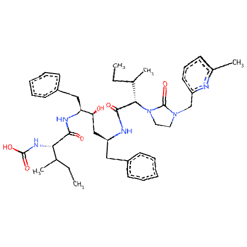 CCC(C)[C@H](NC(=O)O)C(=O)N[C@@H](Cc1ccccc1)[C@@H](O)C[C@H](Cc1ccccc1)NC(=O)[C@H](C(C)CC)N1CCN(Cc2cccc(C)n2)C1=O